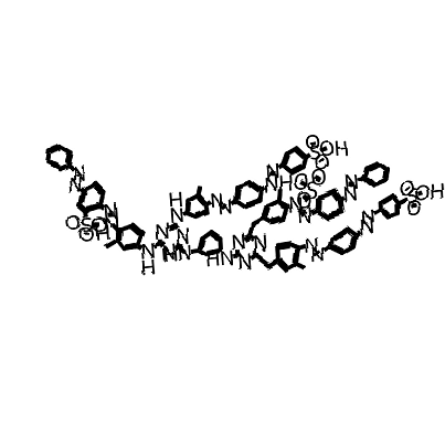 Cc1cc(Cc2nc(Cc3ccc(N=Nc4ccc(N=Nc5ccccc5)cc4S(=O)(=O)O)c(C)c3)nc(Nc3cccc(Nc4nc(Nc5ccc(N=Nc6ccc(N=Nc7ccc(S(=O)(=O)O)cc7)cc6)c(C)c5)nc(Nc5ccc(N=Nc6ccc(N=Nc7ccccc7)cc6S(=O)(=O)O)c(C)c5)n4)c3)n2)ccc1N=Nc1ccc(N=Nc2ccc(S(=O)(=O)O)cc2)cc1